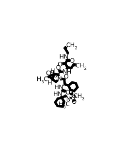 C=CCNC(=O)C(=O)C(CC=C)NC(=O)[C@@H]1[C@@H]2[C@H](CN1C(=O)[C@@H](NC(=O)NC1(CN(C)S(C)(=O)=O)CCCCC1)C1CCCCC1)C2(C)C